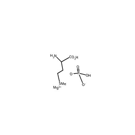 CSCCC(N)C(=O)O.O=P([O-])([O-])O.[Mg+2]